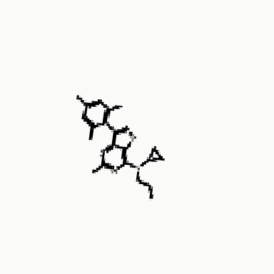 CCCN(c1nc(C)nc2c(-c3c(C)cc(C)cc3C)noc12)C1CC1